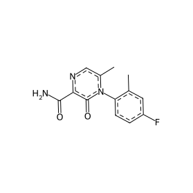 Cc1cc(F)ccc1-n1c(C)cnc(C(N)=O)c1=O